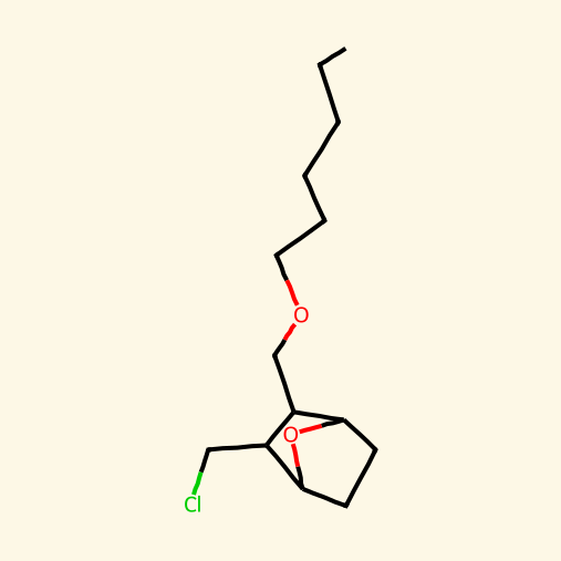 CCCCCCOCC1C2CCC(O2)C1CCl